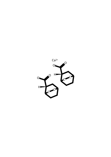 O=C([O-])[C@@H]1CC2CCC1CC2.O=C([O-])[C@@H]1CC2CCC1CC2.[Ca+2]